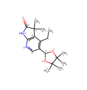 CCc1c(B2OC(C)(C)C(C)(C)O2)cnc2c1C(C)(C)C(=O)N2